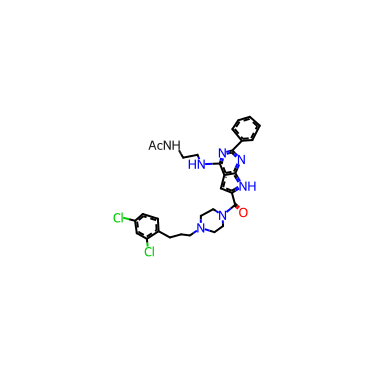 CC(=O)NCCNc1nc(-c2ccccc2)nc2[nH]c(C(=O)N3CCN(CCCc4ccc(Cl)cc4Cl)CC3)cc12